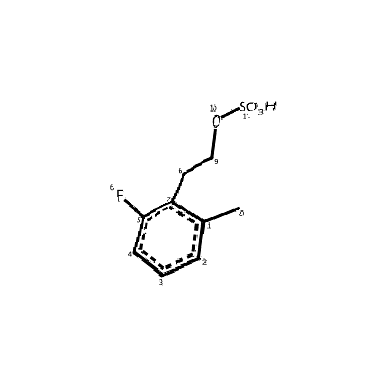 Cc1cccc(F)c1CCOS(=O)(=O)O